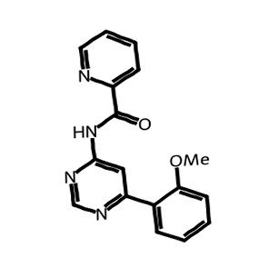 COc1ccccc1-c1cc(NC(=O)c2ccccn2)ncn1